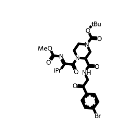 COC(=O)N=C(C(=O)N1CCN(C(=O)OC(C)(C)C)CC1C(=O)NCC(=O)c1ccc(Br)cc1)C(C)C